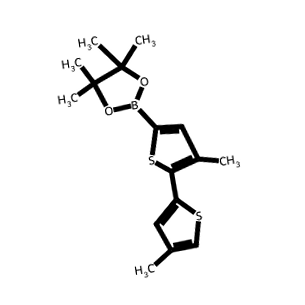 Cc1csc(-c2sc(B3OC(C)(C)C(C)(C)O3)cc2C)c1